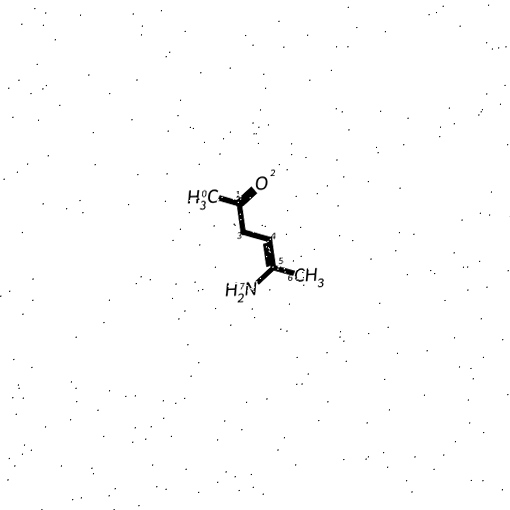 CC(=O)CC=C(C)N